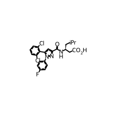 CC(C)C[C@@H](CC(=O)O)NC(=O)c1cc(-c2c(Cl)cccc2Cl)n(-c2ccc(F)cc2)n1